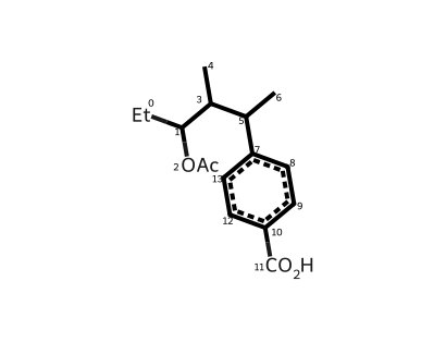 CCC(OC(C)=O)C(C)C(C)c1ccc(C(=O)O)cc1